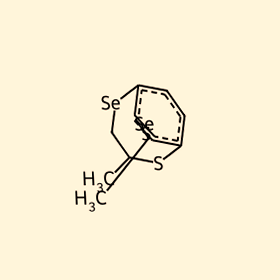 CC1C[Se]c2ccc(c3c2[Se]CC(C)S3)S1